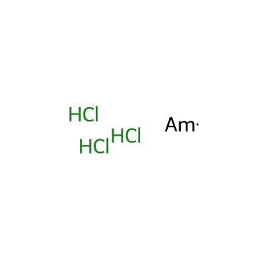 Cl.Cl.Cl.[Am]